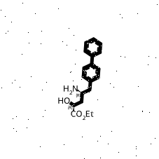 CCOC(=O)[C@H](O)C[C@H](N)Cc1ccc(-c2ccccc2)cc1